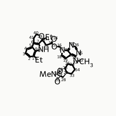 CCc1cccc2c3c([nH]c12)C(CC)(CC(=O)OCn1ccc2c(N(C)[C@H]4CC[C@H](CS(=O)(=O)NC)CC4)ncnc21)OCC3